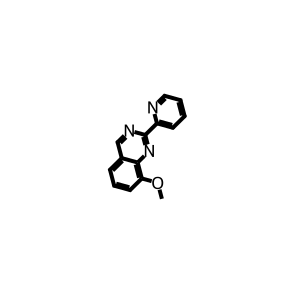 COc1cccc2cnc(-c3ccccn3)nc12